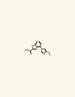 CSc1cn(-c2cccc3oc(C(=O)O)cc23)cn1